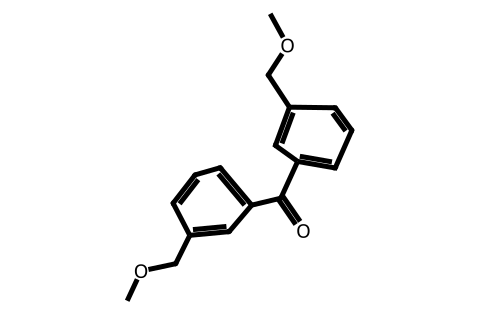 COCc1cccc(C(=O)c2cccc(COC)c2)c1